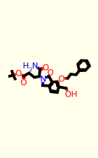 CC(C)(C)OC(=O)CCC(C(N)=O)N1Cc2ccc(CO)c(OCCCc3ccccc3)c2C1=O